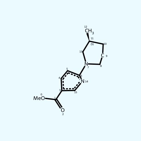 COC(=O)c1ccc(N2CCC[C@H](C)C2)nc1